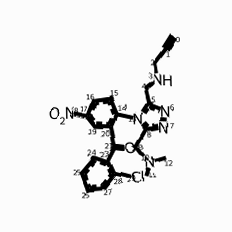 C#CCNCc1nnc(CN(C)C)n1-c1ccc([N+](=O)[O-])cc1C(=O)c1ccccc1Cl